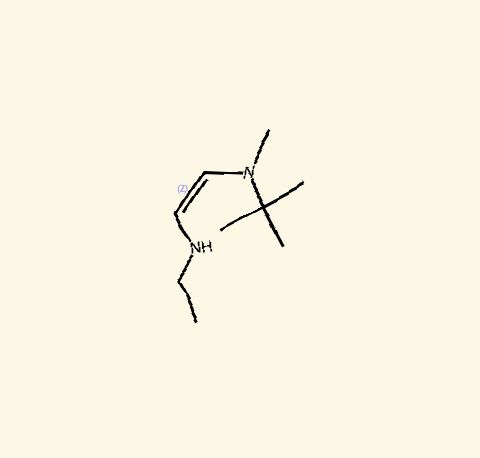 CCN/C=C\N(C)C(C)(C)C